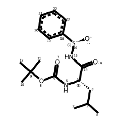 CC(C)C[C@H](NC(=O)OC(C)(C)C)C(=O)N[S@+]([O-])c1ccccc1